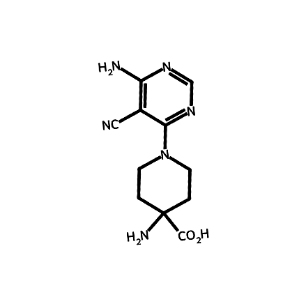 N#Cc1c(N)ncnc1N1CCC(N)(C(=O)O)CC1